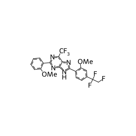 COc1ccccc1-c1nc(C(F)(F)F)c2nc(-c3ccc(C(F)(F)CF)cc3OC)[nH]c2n1